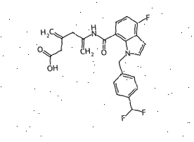 C=C(CC(=C)NC(=O)c1ccc(F)c2ccn(Cc3ccc(C(F)F)cc3)c12)CC(=O)O